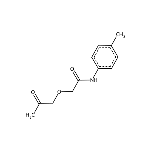 CC(=O)COCC(=O)Nc1ccc(C)cc1